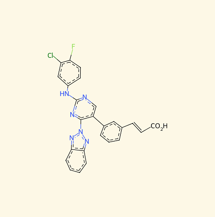 O=C(O)C=Cc1cccc(-c2cnc(Nc3ccc(F)c(Cl)c3)nc2-n2nc3ccccc3n2)c1